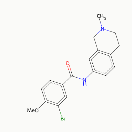 COc1ccc(C(=O)Nc2ccc3c(c2)CN(C)CC3)cc1Br